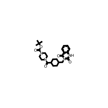 CC(C)(C)OC(=O)N1CCN(C(=O)C2CCC(Cn3c(=O)[nH]c4ccccc4c3=O)CC2)CC1